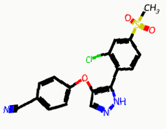 CS(=O)(=O)c1ccc(-c2[nH]ncc2Oc2ccc(C#N)cc2)c(Cl)c1